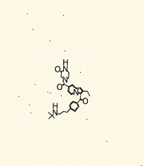 CCc1cc2cc(C(=O)N3CCNC(=O)C3)ccn2c1C(=O)c1ccc(CCCNC(C)(C)C)cc1